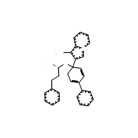 CCCCc1c(C2(O[C@@H](CCc3ccccc3)C(=O)O)C=CC(c3ccccc3)=CC2)cn2ccccc12